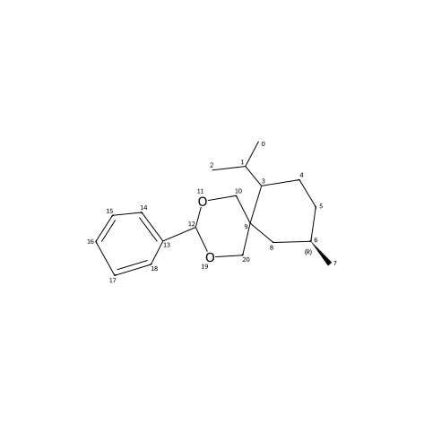 CC(C)C1CC[C@@H](C)CC12COC(c1ccccc1)OC2